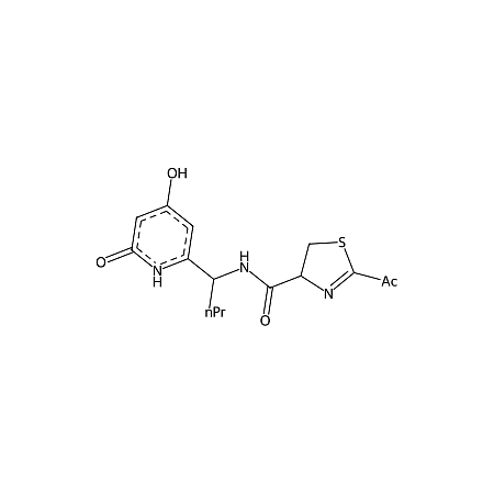 CCCC(NC(=O)C1CSC(C(C)=O)=N1)c1cc(O)cc(=O)[nH]1